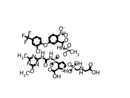 COc1nc(C)nc(NC(=O)NS(=O)(=O)c2ccsc2C(=O)O)n1.CS(=O)(=O)NC(=O)c1cc(Oc2ccc(C(F)(F)F)cc2Cl)ccc1[N+](=O)[O-].O=C(O)CNCP(=O)(O)O